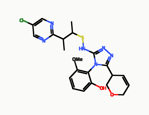 COc1cccc(O)c1-n1c(NSC(C)C(C)c2ncc(Cl)cn2)nnc1C1C=CCOC1